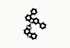 c1ccc(-c2ccc3c4c(-c5ccccc5)cccc4n(-c4nc5c(ccc6oc7ccccc7c65)s4)c3c2)cc1